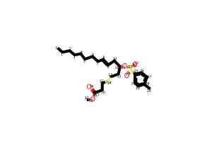 CCCCCCCC/C=C/CC(CCSCCC(=O)OC)OS(=O)(=O)c1ccc(C)cc1